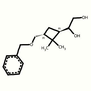 CC1(C)[C@H](COCc2ccccc2)C[C@H]1C(O)CO